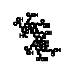 CNC(=O)CN(CCC(=O)O)C(=O)CN(CCC(=O)O)C(=O)CN(CCC(=O)O)C(=O)CN(CCC(=O)O)C(=O)CN(CCC(=O)O)C(=O)CN(CCC(=O)O)C(=O)CN(CCC(=O)O)C(=O)CN(CCC(=O)O)C(C)=O